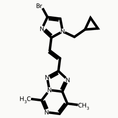 Cc1cnc(C)n2nc(/C=C/c3nc(Br)cn3CC3CC3)nc12